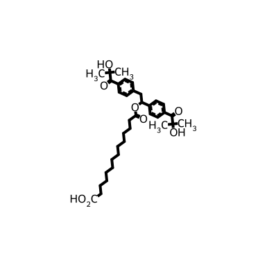 CC(C)(O)C(=O)c1ccc(CC(OC(=O)CCCCCCCCCCCCC(=O)O)c2ccc(C(=O)C(C)(C)O)cc2)cc1